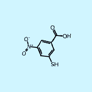 O=C(O)c1cc(S)cc([N+](=O)[O-])c1